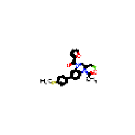 CSc1ccc(-c2ccc3c(c2)N(C(=O)c2ccco2)CC(CF)N3C(C)=O)cc1